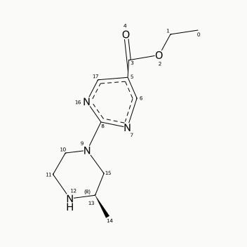 CCOC(=O)c1cnc(N2CCN[C@H](C)C2)nc1